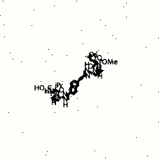 COC(=O)N[C@H](C(=O)N1[C@@H]2C[C@@H]2C[C@H]1c1nc(C#Cc2ccc3cc(-c4c[nH]c([C@@H]5C[C@H]6C[C@H]6N5C(=O)[C@@H](NC(=O)O)C(C)C)n4)ccc3c2)c[nH]1)[C@H]1C[C@@H](C)O[C@@H](C)C1